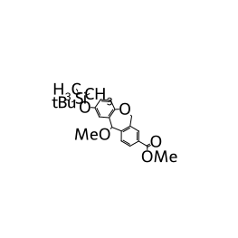 COC(=O)c1ccc2c(c1)COc1ccc(O[Si](C)(C)C(C)(C)C)cc1C2OC